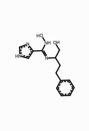 OCC(CCc1ccccc1)N=C(NO)c1c[nH]cn1